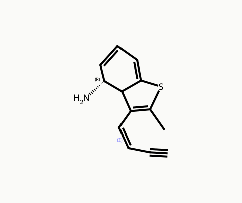 C#C/C=C\C1=C(C)SC2=CC=C[C@@H](N)C21